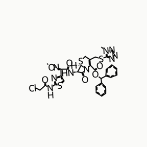 CO/N=C(/C(=O)N[C@@H]1C(=O)N2C(C(=O)OC(c3ccccc3)c3ccccc3)=C(CSc3nnnn3C)CS[C@H]12)c1csc(NC(=O)CCl)n1